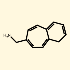 NCC1=CC=C2CC=CC=C2C=C1